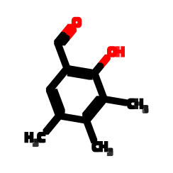 Cc1cc(C=O)c(O)c(C)c1C